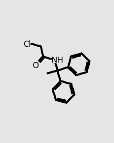 CC(NC(=O)CCl)(c1ccccc1)c1ccccc1